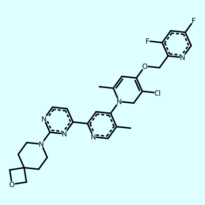 CC1=CC(OCc2ncc(F)cc2F)=C(Cl)CN1c1cc(-c2ccnc(N3CCC4(CC3)COC4)n2)ncc1C